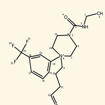 CCNC(=O)N1CC[N+](CCCC=O)(c2cccc(C(F)(F)F)c2)CC1